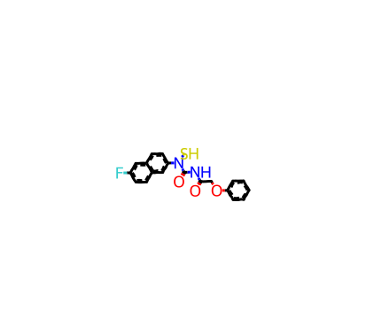 O=C(COc1ccccc1)NC(=O)N(S)c1ccc2cc(F)ccc2c1